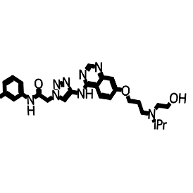 CC(C)N(CCO)CCCOc1ccc2c(Nc3cn(CC(=O)Nc4cccc(F)c4)nn3)ncnc2c1